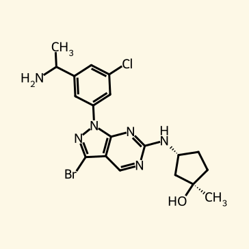 CC(N)c1cc(Cl)cc(-n2nc(Br)c3cnc(N[C@@H]4CC[C@@](C)(O)C4)nc32)c1